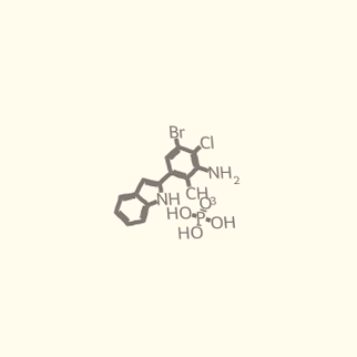 Cc1c(-c2cc3ccccc3[nH]2)cc(Br)c(Cl)c1N.O=P(O)(O)O